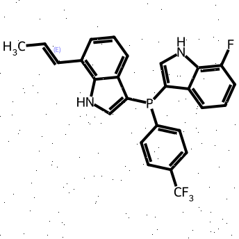 C/C=C/c1cccc2c(P(c3ccc(C(F)(F)F)cc3)c3c[nH]c4c(F)cccc34)c[nH]c12